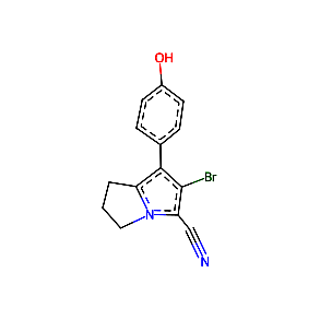 N#Cc1c(Br)c(-c2ccc(O)cc2)c2n1CCC2